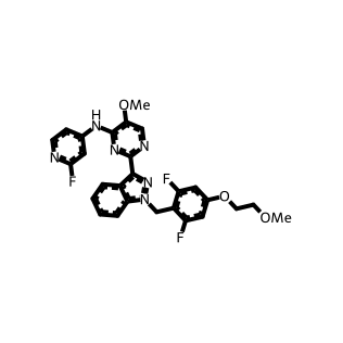 COCCOc1cc(F)c(Cn2nc(-c3ncc(OC)c(Nc4ccnc(F)c4)n3)c3ccccc32)c(F)c1